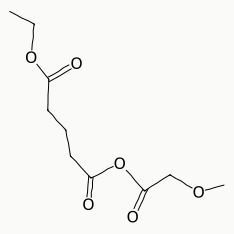 CCOC(=O)CCCC(=O)OC(=O)COC